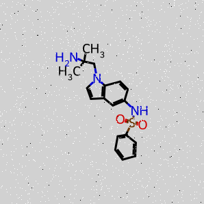 CC(C)(N)Cn1ccc2cc(NS(=O)(=O)c3ccccc3)ccc21